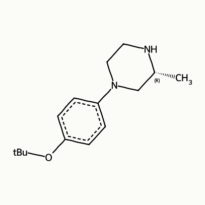 C[C@@H]1CN(c2ccc(OC(C)(C)C)cc2)CCN1